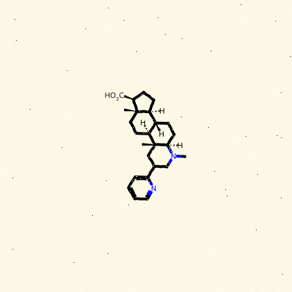 CN1CC(c2ccccn2)C[C@]2(C)[C@H]3CC[C@]4(C)[C@@H](C(=O)O)CC[C@H]4[C@@H]3CC[C@@H]12